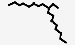 CCCCCOCCN(CC)CCOCCCCC